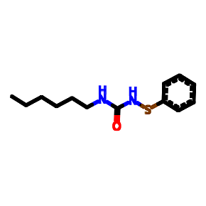 CCCCCCNC(=O)NSc1ccccc1